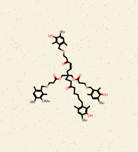 COc1c(C(C)(C)C)cc(C)c(CSCCC(=O)OCC(C/C=C\C(=O)CCSCc2c(C)cc(C(C)(C)C)c(O)c2C)(CCC(=O)CCCCCc2c(C)cc(C(C)(C)C)c(O)c2C)COC(=O)CCSCc2c(C)cc(C(C)(C)C)c(O)c2C)c1C